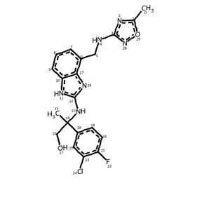 Cc1nc(NCc2cccc3[nH]c(NC(C)(CO)c4ccc(F)c(Cl)c4)nc23)no1